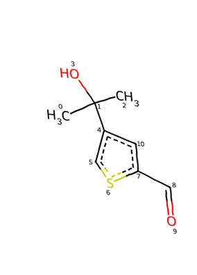 CC(C)(O)c1csc(C=O)c1